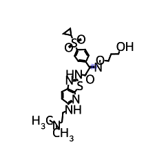 CN(C)CCNc1ccc2nc(NC(=O)/C(=N/OCCCO)c3ccc(S(=O)(=O)C4CC4)cc3)sc2n1